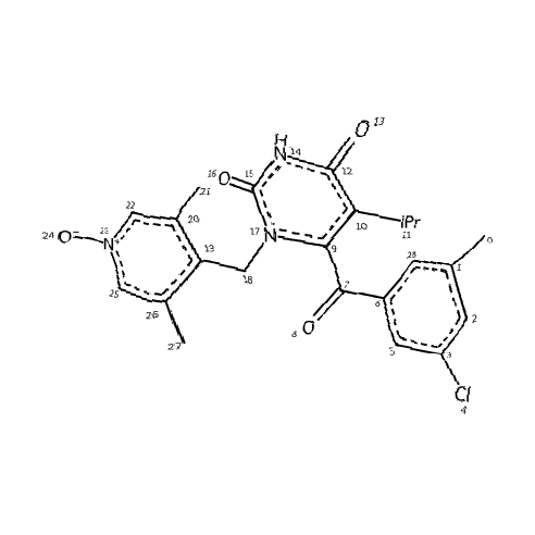 Cc1cc(Cl)cc(C(=O)c2c(C(C)C)c(=O)[nH]c(=O)n2Cc2c(C)c[n+]([O-])cc2C)c1